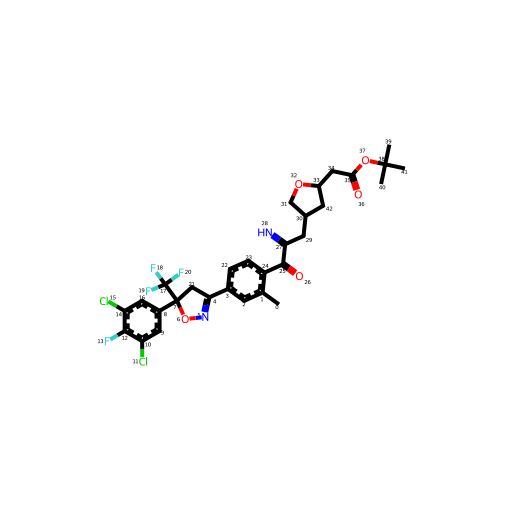 Cc1cc(C2=NOC(c3cc(Cl)c(F)c(Cl)c3)(C(F)(F)F)C2)ccc1C(=O)C(=N)CC1COC(CC(=O)OC(C)(C)C)C1